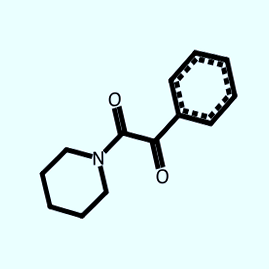 O=C(C(=O)N1CCCCC1)c1ccccc1